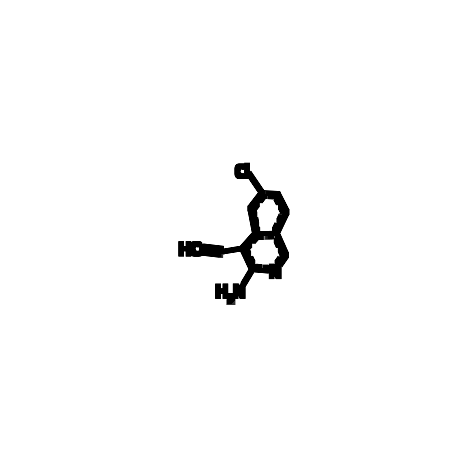 C#Cc1c(N)ncc2ccc(Cl)cc12